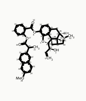 C=C[C@H](O)[C@@H]1Oc2c(OC(=O)c3ccccc3OC(=O)C(C)c3ccc4cc(OC)ccc4c3)ccc3c2[C@@]12CC1CN(C)[C@H](C3)[C@H]12